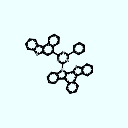 c1ccc(-c2nc(-c3cc4sc5ccccc5c4c4ccccc34)nc(-n3c4ccccc4c4c5ccccc5c5c6ccccc6sc5c43)n2)cc1